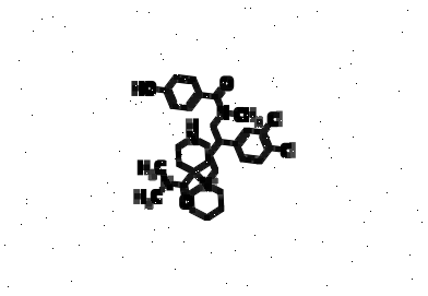 CN(C)C(=O)C1([N+]2(CCC(CN(C)C(=O)c3ccc(O)cc3)c3ccc(Cl)c(Cl)c3)CCCCC2)CCNCC1